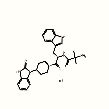 CC(C)(N)C(=O)N[C@H](Cc1c[nH]c2ccccc12)C(=O)N1CCC(n2c(=O)[nH]c3cccnc32)CC1.Cl